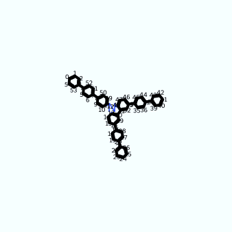 c1ccc(-c2ccc(-c3ccc(-n4c5ccc(-c6ccc(-c7ccccc7)cc6)cc5c5cc(-c6ccc(-c7ccccc7)cc6)ccc54)cc3)cc2)cc1